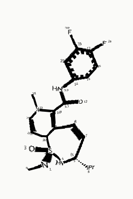 CN=S1(=O)N[C@@H](C(C)C)C=CC2=C(C(=O)Nc3ccc(F)c(F)c3)N(C)C=CC21